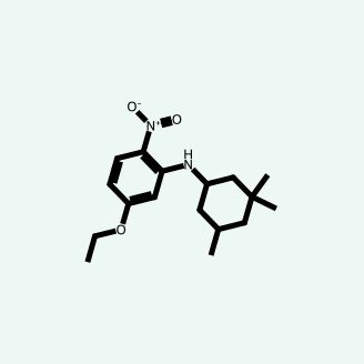 CCOc1ccc([N+](=O)[O-])c(NC2CC(C)CC(C)(C)C2)c1